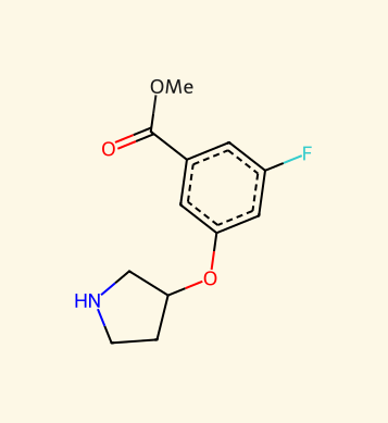 COC(=O)c1cc(F)cc(OC2CCNC2)c1